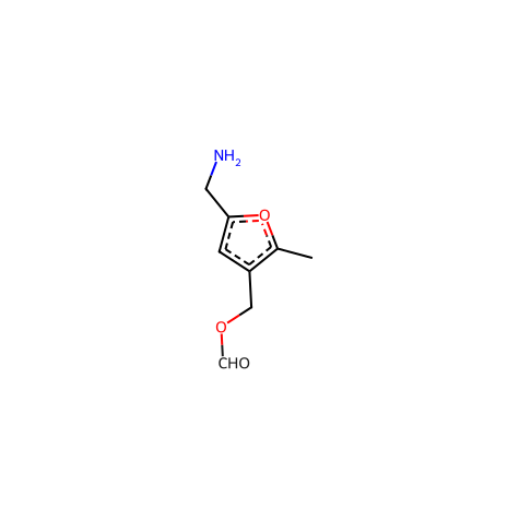 Cc1oc(CN)cc1COC=O